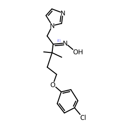 CC(C)(CCOc1ccc(Cl)cc1)/C(Cn1ccnc1)=N\O